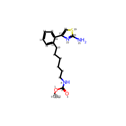 CC(C)(C)OC(=O)NCCCCCCc1ccccc1-c1csc(N)n1